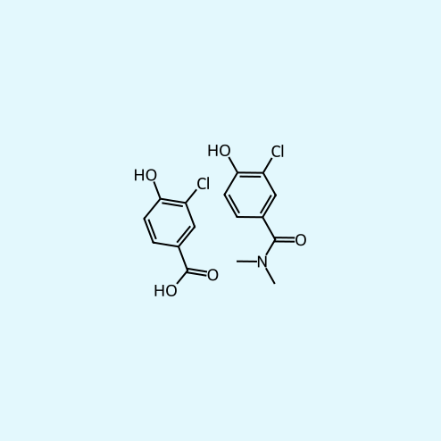 CN(C)C(=O)c1ccc(O)c(Cl)c1.O=C(O)c1ccc(O)c(Cl)c1